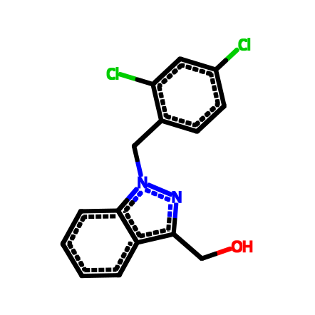 OCc1nn(Cc2ccc(Cl)cc2Cl)c2ccccc12